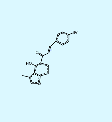 Cc1coc2ccc(C(=O)/C=C/c3ccc(C(C)C)cc3)c(O)c12